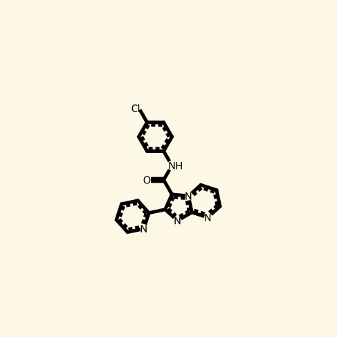 O=C(Nc1ccc(Cl)cc1)c1c(-c2ccccn2)nc2ncccn12